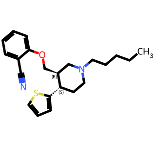 CCCCCN1CC[C@H](c2cccs2)[C@@H](COc2ccccc2C#N)C1